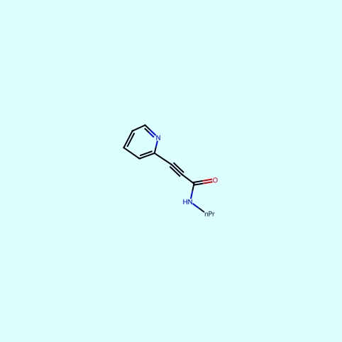 CCCNC(=O)C#Cc1ccccn1